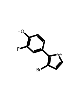 Oc1ccc(-c2[se]ccc2Br)cc1F